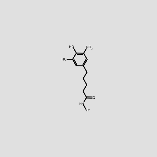 CC(C)NC(=O)CCCCc1cc(O)c(O)c([N+](=O)[O-])c1